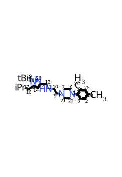 Cc1ccc(N2CCN(CCNCc3cc(CC(C)C)n(C(C)(C)C)n3)CC2)c(C)c1